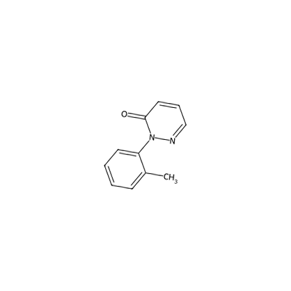 Cc1ccccc1-n1ncccc1=O